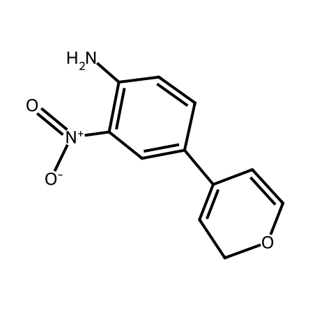 Nc1ccc(C2=CCOC=C2)cc1[N+](=O)[O-]